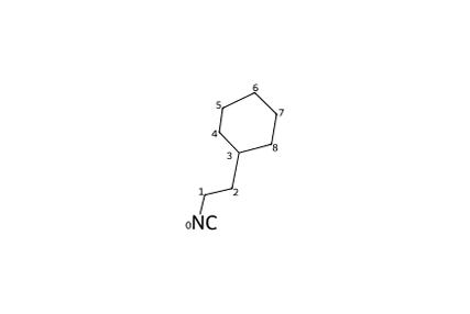 [C-]#[N+]CCC1CCCCC1